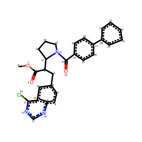 COC(=O)C(Cc1ccc2ncnc(Cl)c2c1)C1CCCN1C(=O)c1ccc(-c2ccccc2)cc1